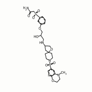 CN1CCOc2ncc(S(=O)(=O)N3CCC4(CC3)CC(NCC(O)COc3cccc(S(=O)(=O)CC(N)=O)c3)CO4)cc21